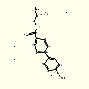 CC[C@H](C)[C@H](Cl)COC(=O)c1ccc(-c2ccc(O)cc2)cc1